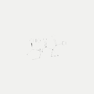 CCC(=O)C1(C(=O)N2CCC[C@H]2C=O)CC1